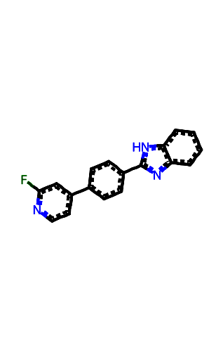 Fc1cc(-c2ccc(-c3nc4ccccc4[nH]3)cc2)ccn1